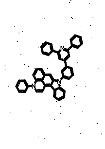 C1=CN(c2ccccc2)c2cccc3cc4c(c1c23)c1ccccc1n4-c1cccc(-c2cc(-c3ccccc3)nc(-c3ccccc3)c2)c1